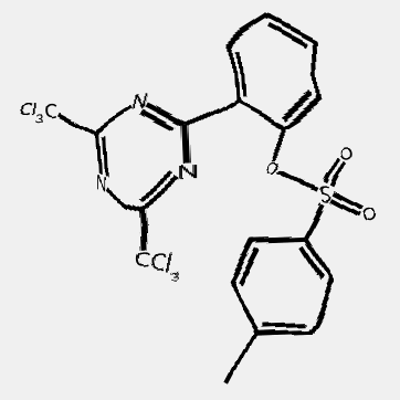 Cc1ccc(S(=O)(=O)Oc2ccccc2-c2nc(C(Cl)(Cl)Cl)nc(C(Cl)(Cl)Cl)n2)cc1